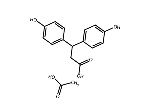 CC(=O)O.O=C(O)CC(c1ccc(O)cc1)c1ccc(O)cc1